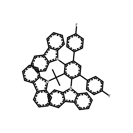 CC(C)(c1c(-n2c3ccccc3c3ccccc32)c(-c2ccc(F)cc2)cc(-c2ccc(F)cc2)c1-n1c2ccccc2c2ccccc21)n1c2ccccc2c2ccccc21